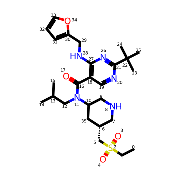 CCS(=O)(=O)C[C@H]1CNCC(N(CC(C)C)C(=O)c2cnc(C(C)(C)C)nc2NCc2ccco2)C1